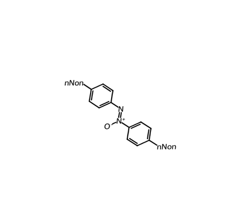 CCCCCCCCCc1ccc(N=[N+]([O-])c2ccc(CCCCCCCCC)cc2)cc1